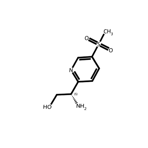 CS(=O)(=O)c1ccc([C@H](N)CO)nc1